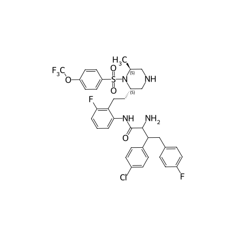 C[C@H]1CNC[C@H](CCc2c(F)cccc2NC(=O)C(N)C(Cc2ccc(F)cc2)c2ccc(Cl)cc2)N1S(=O)(=O)c1ccc(OC(F)(F)F)cc1